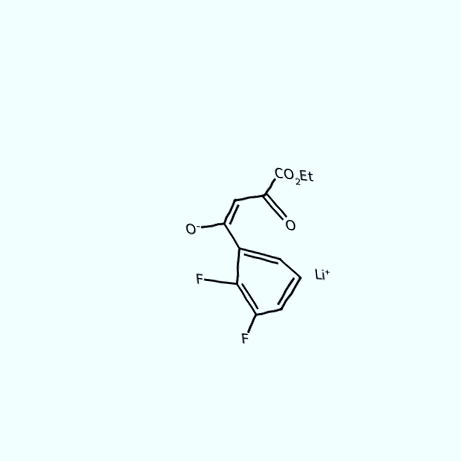 CCOC(=O)C(=O)/C=C(/[O-])c1cccc(F)c1F.[Li+]